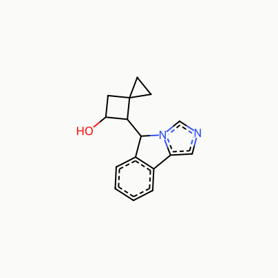 OC1CC2(CC2)C1C1c2ccccc2-c2cncn21